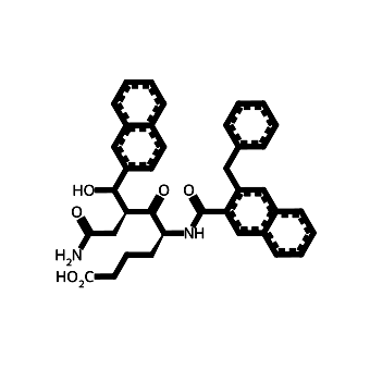 NC(=O)C[C@H](C(=O)[C@H](CCCC(=O)O)NC(=O)c1cc2ccccc2cc1Cc1ccccc1)C(O)c1ccc2ccccc2c1